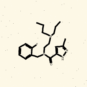 CCCN(CCC)CCN(Cc1ccccc1F)C(=O)c1cc(C)n[nH]1